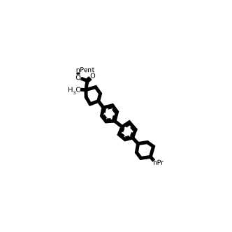 CCCCCOC(=O)C1(C)CCC(c2ccc(-c3ccc(C4CCC(CCC)CC4)cc3)cc2)CC1